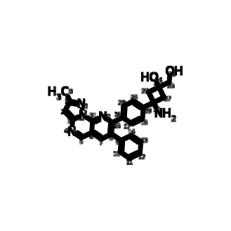 Cc1cc2ncc3cc(-c4ccccc4)c(-c4ccc(C5(N)CC(O)(CO)C5)cc4)nc3n2n1